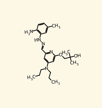 CCCN(CCC)c1cc(/C=N/Nc2cc(C)ccc2N)nc(OCC(C)(C)O)c1